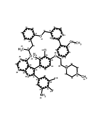 COc1ccccc1-c1nccc(COc2ccccc2CC(C)Oc2ncnc3sc(-c4cc(N)c(F)c(F)c4)c(-c4ccc(OCCN5CCN(C)CC5)c(Cl)c4C)c23)n1